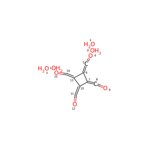 O.O.O.O.O=C=C1C(=C=O)C(=C=O)C1=C=O